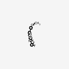 CCCOc1ccc(-c2ccc(Cn3cc4nc(-c5cccc(F)c5F)nc-4cn3)nc2)cc1